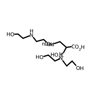 CCCCCCCCCCCC(C(=O)O)C(=O)O.OCCNCCO.OCCNCCO